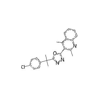 Cc1nc2ccccc2c(C)c1-c1nnc(C(C)(C)c2ccc(Cl)cc2)o1